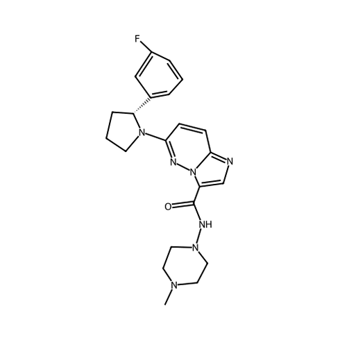 CN1CCN(NC(=O)c2cnc3ccc(N4CCC[C@@H]4c4cccc(F)c4)nn23)CC1